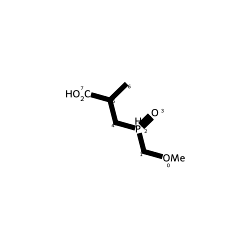 COC[PH](=O)CC(C)C(=O)O